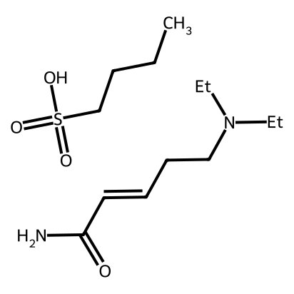 CCCCS(=O)(=O)O.CCN(CC)CCC=CC(N)=O